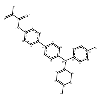 C=C(C)C(=O)Oc1ccc(-c2ccc(N(C3=CC=C(C)CC3)c3ccc(C)cc3)cc2)cc1